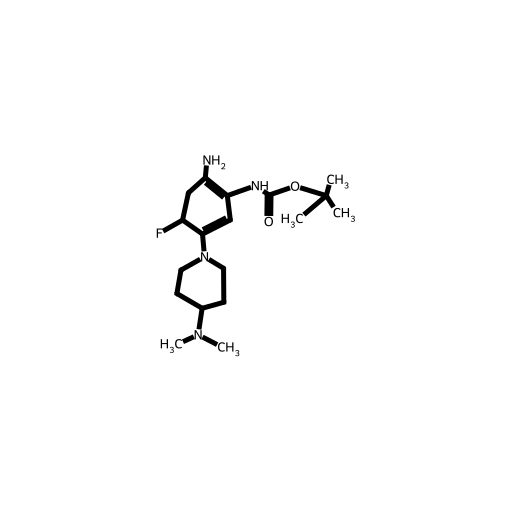 CN(C)C1CCN(C2=CC(NC(=O)OC(C)(C)C)=C(N)CC2F)CC1